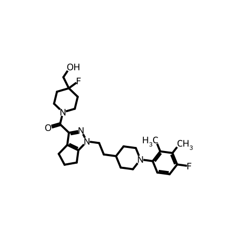 Cc1c(F)ccc(N2CCC(CCn3nc(C(=O)N4CCC(F)(CO)CC4)c4c3CCC4)CC2)c1C